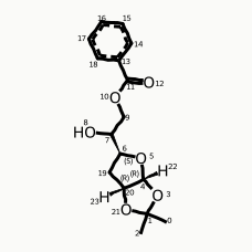 CC1(C)O[C@H]2O[C@H](C(O)COC(=O)c3ccccc3)C[C@H]2O1